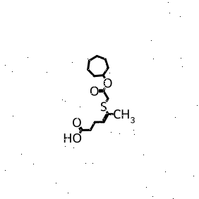 C/C(=C/CCC(=O)O)SCC(=O)OC1CCCCCC1